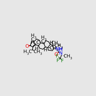 CC(C)C1=C2[C@H]3CC[C@@H]4[C@@]5(C)CCC(NC(=O)N[C@H](C)C(F)(F)F)C(C)(C)[C@@H]5CC[C@@]4(C)[C@]3(C)CC[C@@]2(C)CC1=O